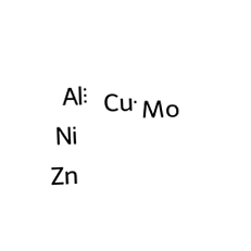 [Al].[Cu].[Mo].[Ni].[Zn]